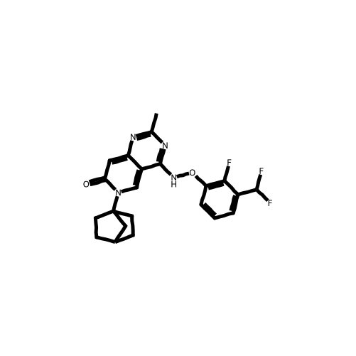 Cc1nc(NOc2cccc(C(F)F)c2F)c2cn(C34CCC(CC3)C4)c(=O)cc2n1